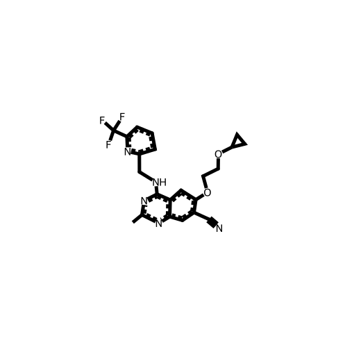 Cc1nc(NCc2cccc(C(F)(F)F)n2)c2cc(OCCOC3CC3)c(C#N)cc2n1